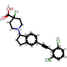 O=C(O)C1(F)CCN(C2CCc3cc(C#Cc4c(Cl)cccc4Cl)ccc32)CC1